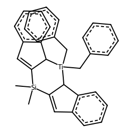 C[Si]1(C)C2=Cc3ccccc3[CH]2[Ti]([CH2]c2ccccc2)([CH2]c2ccccc2)[CH]2C1=Cc1ccccc12